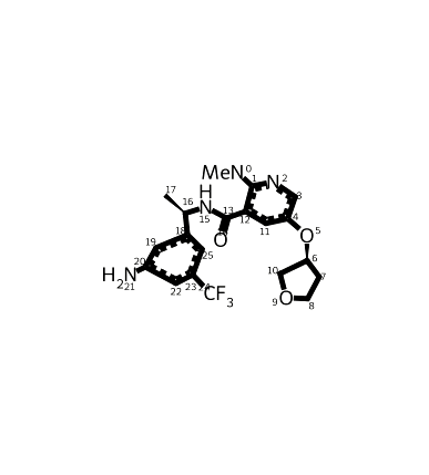 CNc1ncc(O[C@H]2CCOC2)cc1C(=O)N[C@H](C)c1cc(N)cc(C(F)(F)F)c1